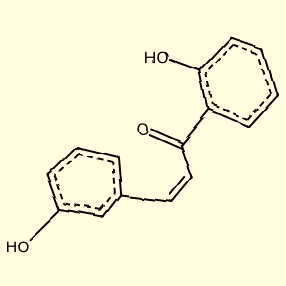 O=C(/C=C\c1cccc(O)c1)c1ccccc1O